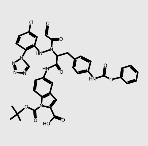 CC(C)(C)OC(=O)n1c(C(=O)O)cc2cc(NC(=O)C(Cc3ccc(NC(=O)Oc4ccccc4)cc3)N(Nc3cc(Cl)ccc3-n3cnnn3)C(=O)C=O)ccc21